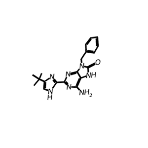 CC(C)(C)c1c[nH]c(-c2nc(N)c3[nH]c(=O)n(Cc4ccccc4)c3n2)n1